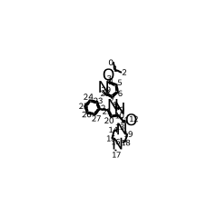 CC(C)Oc1ccc(-n2nc(C(=O)N3CCN(C)CC3)cc2-c2ccccc2)cn1